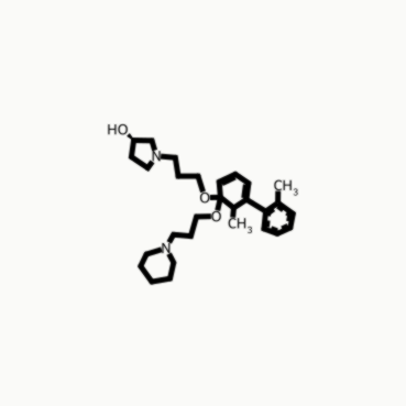 Cc1ccccc1C1=CC=CC(OCCCN2CCCCC2)(OCCCN2CC[C@@H](O)C2)C1C